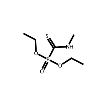 CCOP(=O)(OCC)C(=S)NC